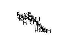 [O-][S+](Nc1ncc(F)s1)c1cc(Cl)c(NCCCCNCC2(O)CNC2)cc1F